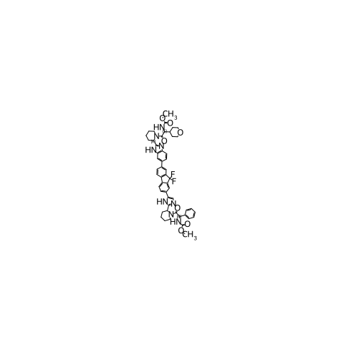 COC(=O)N[C@H](C(=O)N1CCCC[C@@H]1c1nc2ccc(-c3ccc4c(c3)C(F)(F)c3cc(-c5cnc(C6CCCCN6C(=O)[C@H](NC(=O)OC)c6ccccc6)[nH]5)ccc3-4)cc2[nH]1)C1CCOCC1